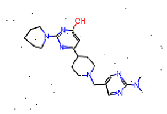 CN(C)c1ncc(CN2CCC(c3cc(O)nc(N4CCCCC4)n3)CC2)cn1